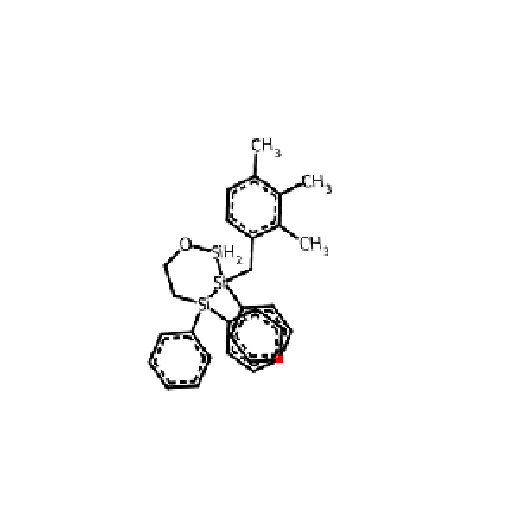 Cc1ccc(C[Si]2(c3ccccc3)[SiH2]OCC[Si]2(c2ccccc2)c2ccccc2)c(C)c1C